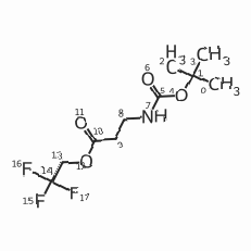 CC(C)(C)OC(=O)NCCC(=O)OCC(F)(F)F